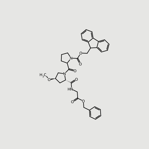 CO[C@@H]1C[C@@H](C(=O)NCC(=O)OCc2ccccc2)N(C(=O)C2CCCN2C(=O)OCC2c3ccccc3-c3ccccc32)C1